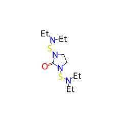 CCN(CC)SN1CCN(SN(CC)CC)C1=O